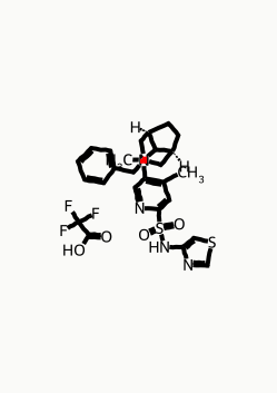 Cc1cc(S(=O)(=O)Nc2cscn2)ncc1N(C)C1[C@@H]2CC[C@H]1CN(Cc1ccccc1)C2.O=C(O)C(F)(F)F